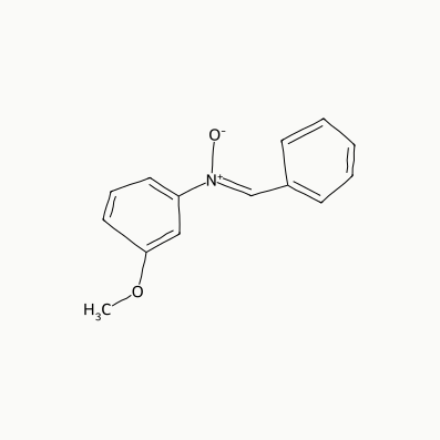 COc1cccc([N+]([O-])=Cc2ccccc2)c1